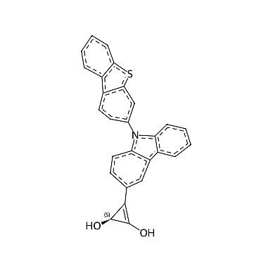 OC1=C(c2ccc3c(c2)c2ccccc2n3-c2ccc3c(c2)sc2ccccc23)[C@@H]1O